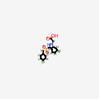 O=C(O)Cn1nc(S(=O)(=O)Cc2ccc(F)cc2)c2ccc(F)cc21